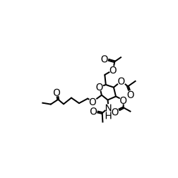 CCC(=O)CCCCOC1OC(COC(C)=O)C(OC(C)=O)C(OC(C)=O)C1NC(C)=O